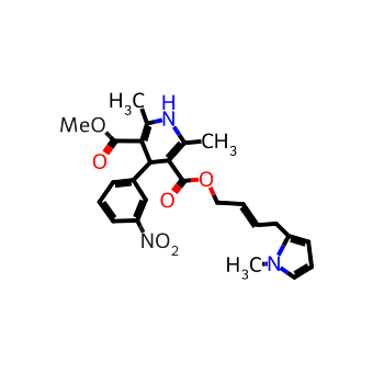 COC(=O)C1=C(C)NC(C)=C(C(=O)OCC=CCc2cccn2C)C1c1cccc([N+](=O)[O-])c1